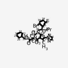 Cc1c(-n2nccn2)sc2c1c(=O)n(C(C)(C)C(=O)OCc1ccccc1)c(=O)n2CC(OC(C)C)c1cc(F)ccc1Br